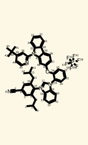 CC(C)Cc1cc(C#N)cc(CC(C)C)c1-[n+]1cn(-c2ccccc2Oc2ccc3c4ccccc4n(-c4cc(C(C)(C)C)ccn4)c3c2)c2ccccc21.F[P-](F)(F)(F)(F)F